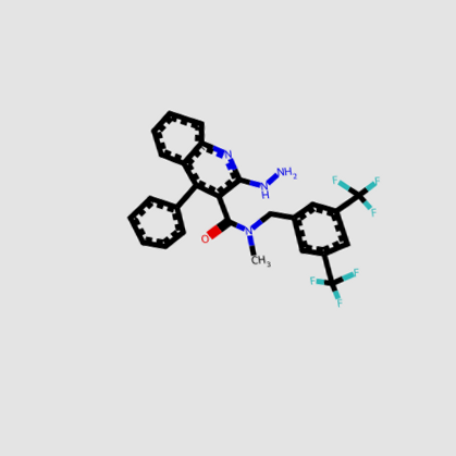 CN(Cc1cc(C(F)(F)F)cc(C(F)(F)F)c1)C(=O)c1c(NN)nc2ccccc2c1-c1ccccc1